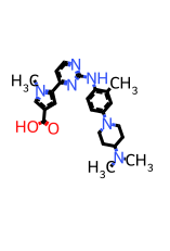 Cc1cc(N2CCC(N(C)C)CC2)ccc1Nc1nccc(-c2cc(C(=O)O)cn2C)n1